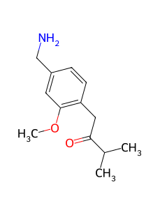 COc1cc(CN)ccc1CC(=O)C(C)C